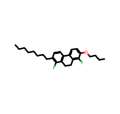 CCCCCCCCc1ccc2c(c1F)CCc1c-2ccc(OCCCC)c1F